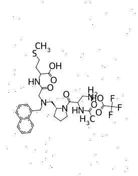 CSCCC(NC(=O)CN(Cc1cccc2ccccc12)C[C@@H]1CCCN1C(=O)C(CN)NC(C)=O)C(=O)O.O=C(O)C(F)(F)F